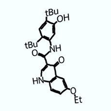 CCOc1ccc2[nH]cc(C(=O)Nc3cc(O)c(C(C)(C)C)cc3C(C)(C)C)c(=O)c2c1